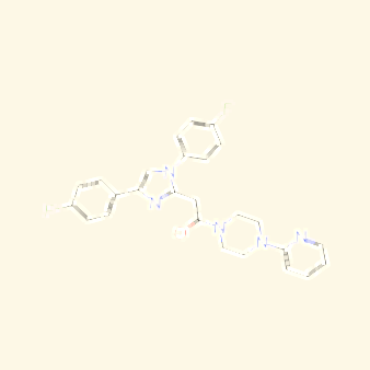 O=C(Cc1nc(-c2ccc(F)cc2)cn1-c1ccc(F)cc1)N1CCN(c2ccccn2)CC1